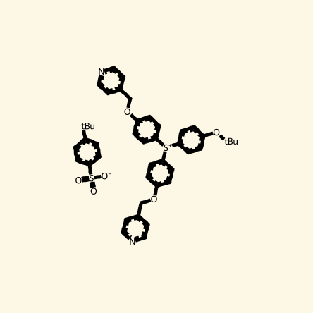 CC(C)(C)Oc1ccc([S+](c2ccc(OCc3ccncc3)cc2)c2ccc(OCc3ccncc3)cc2)cc1.CC(C)(C)c1ccc(S(=O)(=O)[O-])cc1